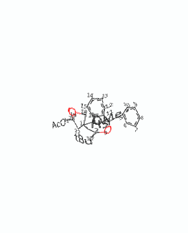 COC1(C(O[SiH](c2ccccc2)c2ccccc2)C(C)(C)C)COC(OC(C)=O)C1